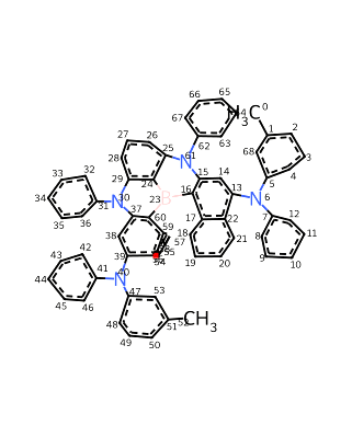 Cc1cccc(N(c2ccccc2)c2cc3c(c4ccccc24)B2c4c(cccc4N(c4ccccc4)c4cc(N(c5ccccc5)c5cccc(C)c5)c5ccccc5c42)N3c2ccccc2)c1